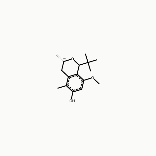 COc1cc(O)c(C)c2c1C(C(C)(C)C)O[C@@H](C)C2